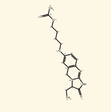 CCC1C(=O)NC2=Nc3ccc(OCCCCOC(C)=O)cc3CN21